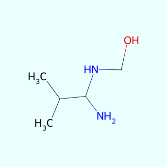 CC(C)C(N)NCO